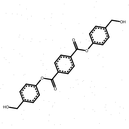 O=C(Oc1ccc(CO)cc1)c1ccc(C(=O)Oc2ccc(CO)cc2)cc1